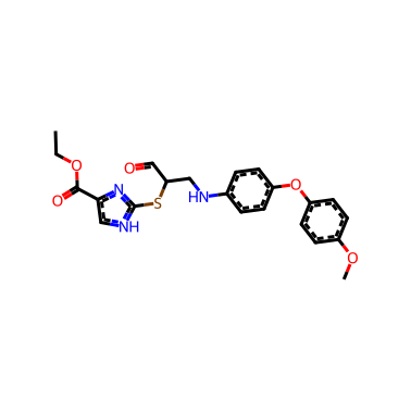 CCOC(=O)c1c[nH]c(SC(C=O)CNc2ccc(Oc3ccc(OC)cc3)cc2)n1